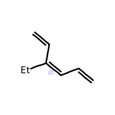 C=C/C=C(\C=C)CC